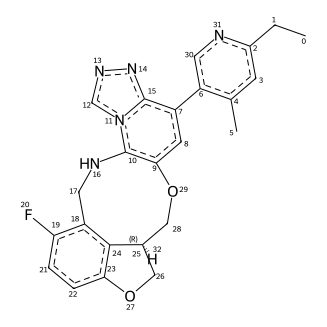 CCc1cc(C)c(-c2cc3c(n4cnnc24)NCc2c(F)ccc4c2[C@H](CO4)CO3)cn1